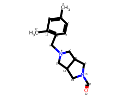 Cc1ccc(CN2CC3CN(C=O)CC3C2)c(C)c1